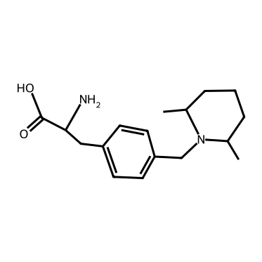 CC1CCCC(C)N1Cc1ccc(CC(N)C(=O)O)cc1